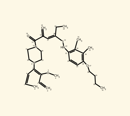 C=C/C(OC)=C(\C=C/C)N1CCN(C(=O)C(=C)/C=C(\CC)SNc2ccc(OCCCC)c(C)c2C)CC1